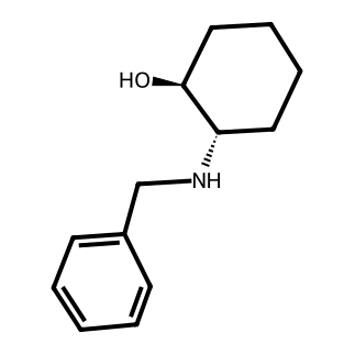 O[C@H]1CCCC[C@@H]1NCc1ccccc1